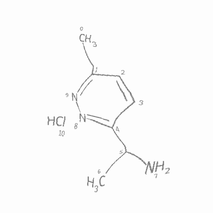 Cc1ccc(C(C)N)nn1.Cl